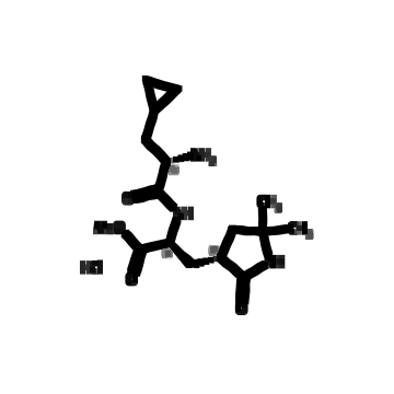 COC(=O)[C@H](C[C@@H]1CC(C)(C)NC1=O)NC(=O)[C@@H](N)CC1CC1.Cl